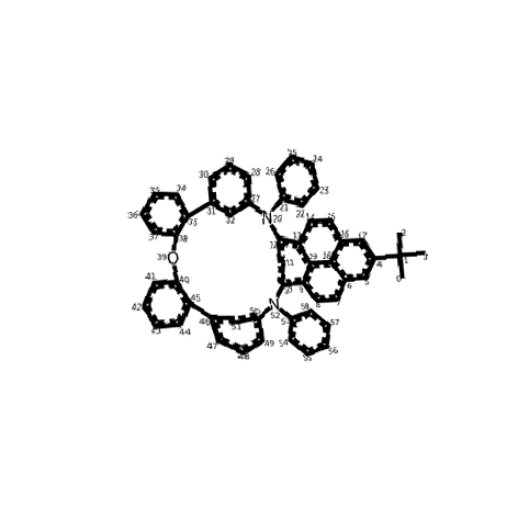 CC(C)(C)c1cc2ccc3c4cc(c5ccc(c1)c2c35)N(c1ccccc1)c1cccc(c1)-c1ccccc1Oc1ccccc1-c1cccc(c1)N4c1ccccc1